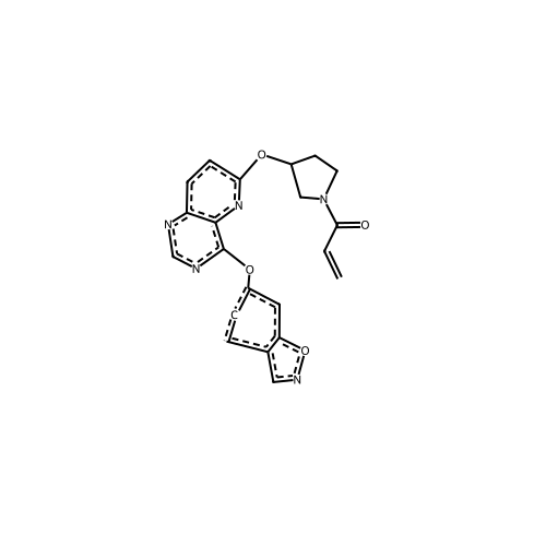 C=CC(=O)N1CCC(Oc2ccc3ncnc(Oc4ccc5cnoc5c4)c3n2)C1